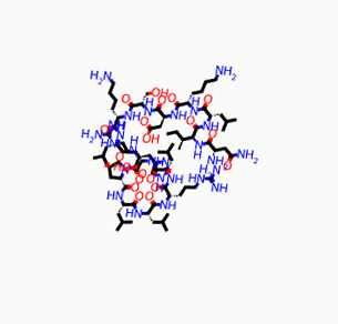 CC[C@H](C)[C@H](NC(=O)[C@@H](N)CC(N)=O)C(=O)N[C@@H](CC(C)C)C(=O)N[C@@H](CCCCN)C(=O)N[C@@H](CC(=O)O)C(=O)N[C@@H](CO)C(=O)N[C@@H](CCCCN)C(=O)N[C@@H](CC(C)C)C(=O)N[C@@H](Cc1c[nH]cn1)C(=O)N1CCC[C@H]1C(=O)N[C@@H](CC(C)C)C(=O)N[C@@H](CC(C)C)C(=O)N[C@@H](CCCNC(=N)N)C(=O)N[C@@H](CC(C)C)C(=O)N[C@@H](CCCNC(=N)N)C(=O)O